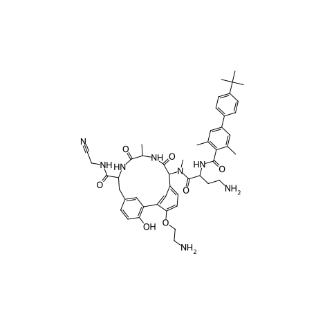 Cc1cc(-c2ccc(C(C)(C)C)cc2)cc(C)c1C(=O)NC(CCN)C(=O)N(C)C1C(=O)NC(C)C(=O)NC(C(=O)NCC#N)Cc2ccc(O)c(c2)-c2cc1ccc2OCCN